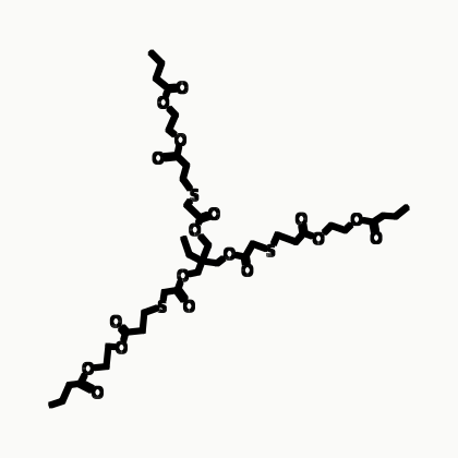 CCCC(=O)OCCOC(=O)CCSCC(=O)OCC(CC)(COC(=O)CSCCC(=O)OCCOC(=O)CCC)COC(=O)CSCCC(=O)OCCOC(=O)CCC